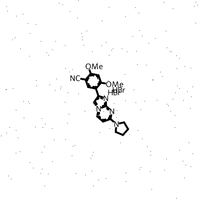 Br.Br.COc1cc(OC)c(-c2cn3ccc(N4CCCC4)nc3n2)cc1C#N